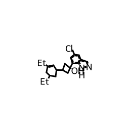 CCC1=CC(C2CC(O)(c3cc(Cl)cc4cn[nH]c34)C2)CC(CC)C1